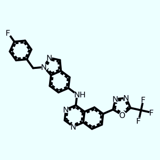 Fc1ccc(Cn2ncc3cc(Nc4ncnc5ccc(-c6nnc(C(F)(F)F)o6)cc45)ccc32)cc1